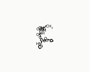 CCCCS(=O)(=O)NC(CNC(=O)COC1CC(CNc2ccccn2)N(OC(=O)OCc2ccccc2)C1)C(=O)O